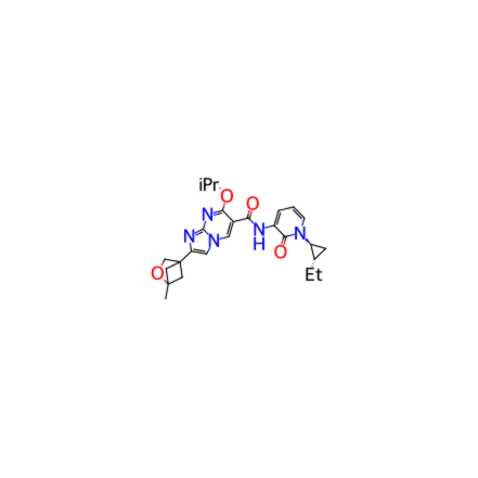 CC[C@H]1C[C@@H]1n1cccc(NC(=O)c2cn3cc(C45COC(C)(C4)C5)nc3nc2OC(C)C)c1=O